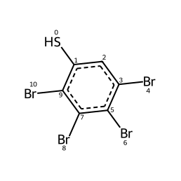 Sc1cc(Br)c(Br)c(Br)c1Br